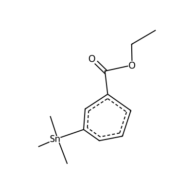 CCOC(=O)c1ccc[c]([Sn]([CH3])([CH3])[CH3])c1